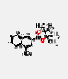 CC(C)(C)c1cc(B2OC(C)(C)C(C)(C)O2)cc2ccccc12